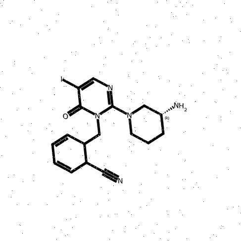 N#CC1C=CC=CC1Cn1c(N2CCC[C@@H](N)C2)ncc(I)c1=O